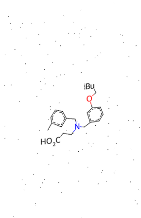 CCC(C)COc1cccc(CN(CCC(=O)O)Cc2cccc(C)c2)c1